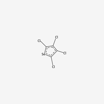 Clc1[se]c(Cl)c(Cl)c1Cl